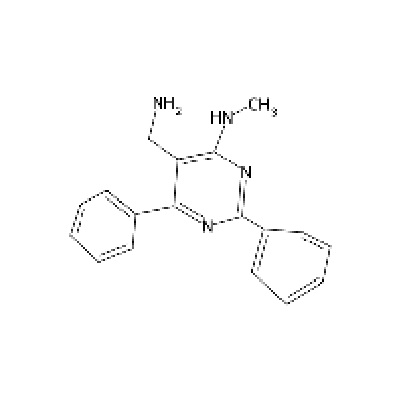 CNc1nc(-c2ccccc2)nc(-c2ccccc2)c1CN